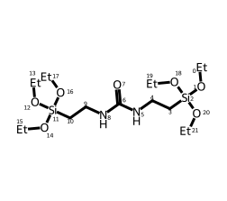 CCO[Si](CCNC(=O)NCC[Si](OCC)(OCC)OCC)(OCC)OCC